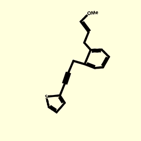 COC=CCc1ccccc1CC#Cc1cccs1